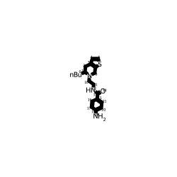 CCCCC1Cc2ccsc2CN1CCNC(=O)c1ccc(N)cc1